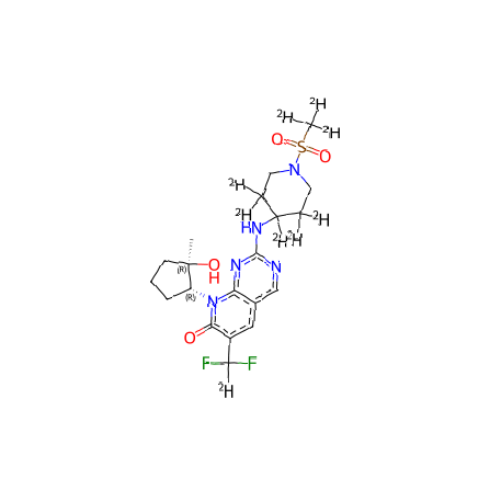 [2H]C(F)(F)c1cc2cnc(NC3([2H])C([2H])([2H])CN(S(=O)(=O)C([2H])([2H])[2H])CC3([2H])[2H])nc2n([C@@H]2CCC[C@@]2(C)O)c1=O